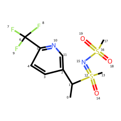 CC(c1ccc(C(F)(F)F)nc1)S(C)(=O)=NS(C)(=O)=O